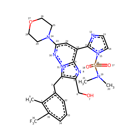 Cc1c(Cc2c(CO)nc3c(-c4nccn4S(=O)(=O)N(C)C)cc(N4CCOCC4)nn23)cccc1C(F)(F)F